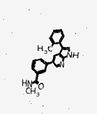 CNC(=O)c1cccc(-c2cnc3[nH]cc(-c4ccccc4C)c3c2)c1